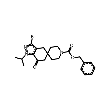 CC(C)n1nc(Br)c2c1C(=O)CC1(CCN(C(=O)OCc3ccccc3)CC1)C2